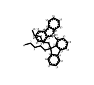 CCCCCC1(CCCCC)c2ccccc2-c2cccc(-n3c4ccccc4c4ccccc43)c21